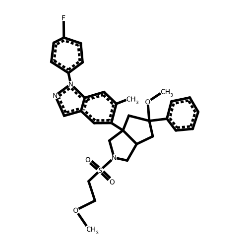 COCCS(=O)(=O)N1CC2CC(OC)(c3ccccc3)CC2(c2cc3cnn(-c4ccc(F)cc4)c3cc2C)C1